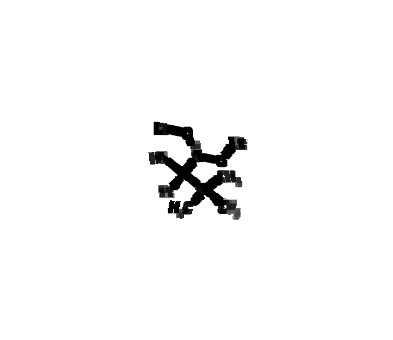 CCO[SiH](OCC)[C@](S)(CC)[Si](C)(C)C